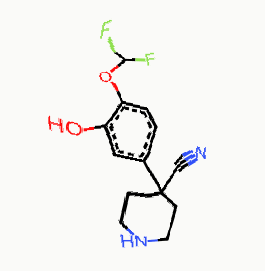 N#CC1(c2ccc(OC(F)F)c(O)c2)CCNCC1